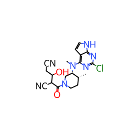 C[C@@H]1CCN(C(=O)C(C#N)C(O)CC#N)C[C@@H]1N(C)c1nc(Cl)nc2[nH]ccc12